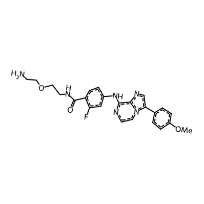 COc1ccc(-c2cnc3c(Nc4ccc(C(=O)NCCOCCN)c(F)c4)nccn23)cc1